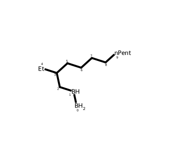 BBCC(CC)CCCCCCCCC